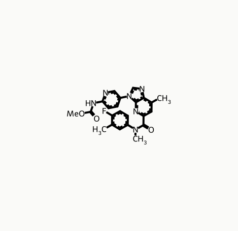 COC(=O)Nc1ccc(-n2cnc3c(C)cc(C(=O)N(C)c4ccc(F)c(C)c4)nc32)cn1